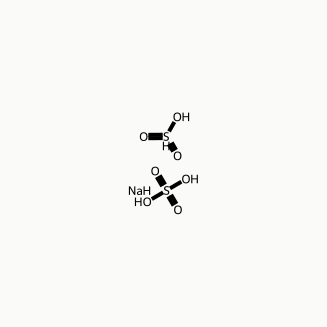 O=S(=O)(O)O.O=[SH](=O)O.[NaH]